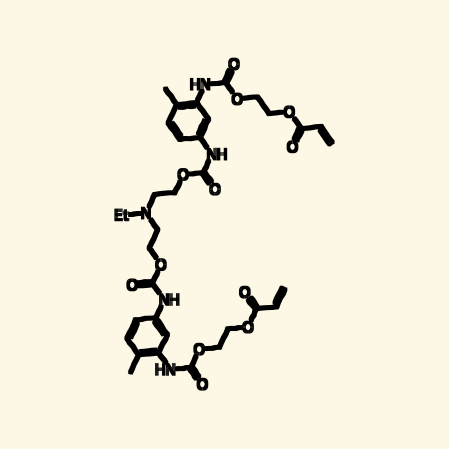 C=CC(=O)OCCOC(=O)Nc1cc(NC(=O)OCCN(CC)CCOC(=O)Nc2ccc(C)c(NC(=O)OCCOC(=O)C=C)c2)ccc1C